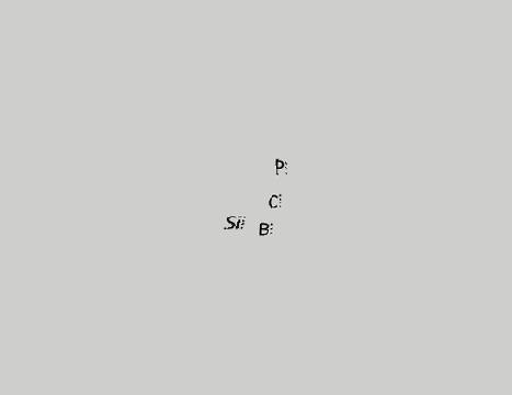 [B].[C].[P].[Si]